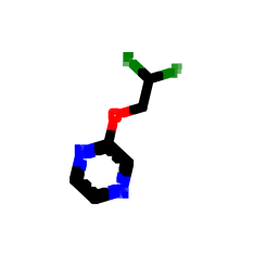 FC(F)COc1cnccn1